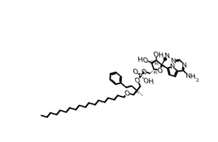 CCCCCCCCCCCCCCCCCCOC[C@@](C)(CCc1ccccc1)COP(=O)(O)OC[C@H]1O[C@@](C#N)(c2ccc3c(N)ncnn23)[C@H](O)[C@@H]1O